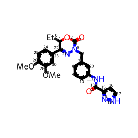 CCC1OC(=O)N(Cc2cccc(NC(=O)c3cc[nH]n3)c2)N=C1c1ccc(OC)c(OC)c1